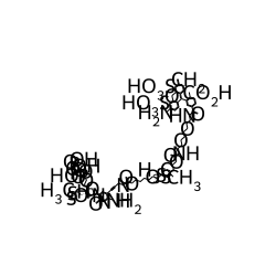 C=c1ccc2c(c1S(=O)(=O)O)Oc1c(ccc(N)c1S(=O)(=O)O)C=2c1cc(C(=O)NCCOCCOCCNC(=O)OCCC(C)(C)SSCOCCCCOC(=O)NCC#Cc2cn([C@H]3C[C@H](OCS(C)=S)[C@@H](CO[PH](=O)OP(=O)(O)OP(=O)(O)O)O3)c(=O)nc2N)ccc1C(=O)O